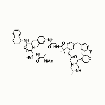 CN[C@@H](C)C(=O)N[C@H](C(=O)N1Cc2cc(NC(=O)CNC(=O)[C@]3(C)CN(C(=O)CN4C[C@@H](C)NC[C@@H]4CN4CCOC[C@H]4C)c4cc(Cc5ccc(F)cc5)ccc43)ccc2C[C@H]1C(=O)N[C@@H]1CCCc2ccccc21)C(C)(C)C